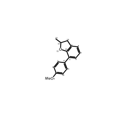 COc1ccc(-c2cccc3c2OC(C)C3)cc1